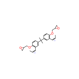 C/C=C\c1cc(C(C)(C)c2ccc(OCC3CO3)c(/C=C\C)c2)ccc1OCC1CO1